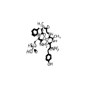 C[C@@H](NC(=O)[C@@H](N)Cc1ccc(O)cc1)C(=O)NCC(=O)N(C)[C@@H](Cc1ccccc1)C(=O)N[C@@H](COP(=O)(O)O)C(N)=O